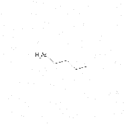 C[CH]CC[AsH2]